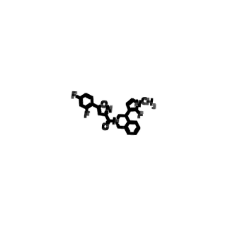 Cn1ccc(C2CN(C(=O)c3cc(-c4ccc(F)cc4F)on3)Cc3ccccc32)c1F